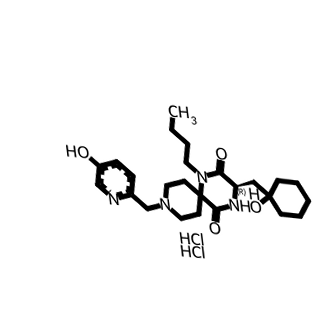 CCCCN1C(=O)[C@@H](CC2(O)CCCCC2)NC(=O)C12CCN(Cc1ccc(O)cn1)CC2.Cl.Cl